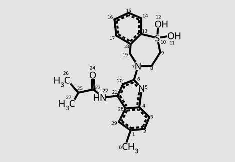 Cc1ccc2nc(N3CCS(O)(O)c4ccccc4C3)cc(NC(=O)C(C)C)c2c1